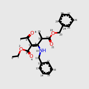 CCOC(=O)C(C(C)=O)=C(NCc1ccccc1)C(C)C(=O)OCc1ccccc1